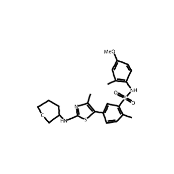 COc1ccc(NS(=O)(=O)c2cc(-c3sc(NC4CCCCC4)nc3C)ccc2C)c(C)c1